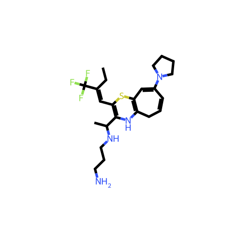 CC/C(=C\C1=C(C(C)NCCCN)NC2=C(C=C(N3CCCC3)C=CC2)S1)C(F)(F)F